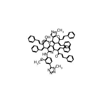 COc1cc(-c2nnnn2C)ccc1Nc1nc(C(=Cc2ccccc2)C(=O)C=Cc2ccccc2)c2c(C(=Cc3ccccc3)C(=O)C=Cc3ccccc3)c(-c3cnn(C)c3)n(C(=O)O)c2c1C(=Cc1ccccc1)C(=O)C=Cc1ccccc1